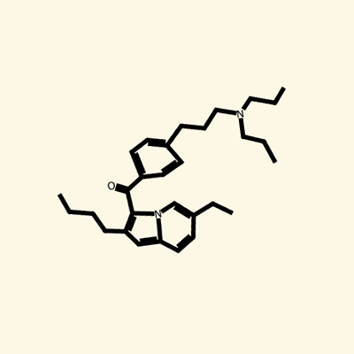 CCCCc1cc2ccc(CC)cn2c1C(=O)c1ccc(CCCN(CCC)CCC)cc1